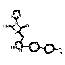 COc1ccc(-c2ccc(-c3n[nH]cc3/C=C3\SC(=N)N(c4nccs4)C3=O)cc2)cc1